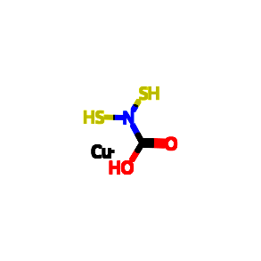 O=C(O)N(S)S.[Cu]